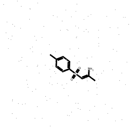 CC(N)=CS(=O)(=O)c1ccc(C)cc1